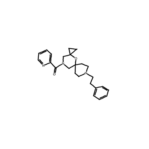 O=C(c1ccccn1)N1CC2(CCN(CCc3ccccc3)CC2)OC2(CC2)C1